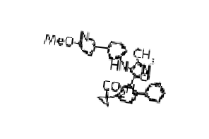 COc1ccc(-c2cccc(Nc3c(C)noc3-c3cc(C4(C(=O)O)CC4)ccc3-c3ccccc3)c2)cn1